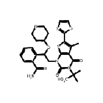 Cc1c(-c2ncco2)sc2c1c(=O)n(C(C)(C)C(=O)O)c(=O)n2CC(OC1CCOCC1)c1ccccc1C(N)=O